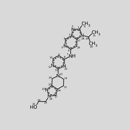 Cc1nc2cnc(Nc3ccnc(N4CCc5cn(CCO)nc5C4)n3)cc2n1C(C)C